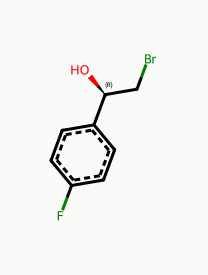 O[C@@H](CBr)c1ccc(F)cc1